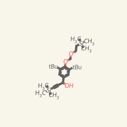 CC(C)(C)c1cc(C(O)C#C[Si](C)(C)C)cc(C(C)(C)C)c1OCOCC[Si](C)(C)C